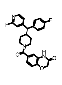 O=C1COc2ccc(C(=O)N3CCC([C@H](c4ccc(F)cc4)c4ccnc(F)c4)CC3)cc2N1